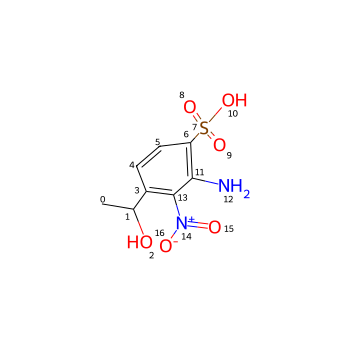 CC(O)c1ccc(S(=O)(=O)O)c(N)c1[N+](=O)[O-]